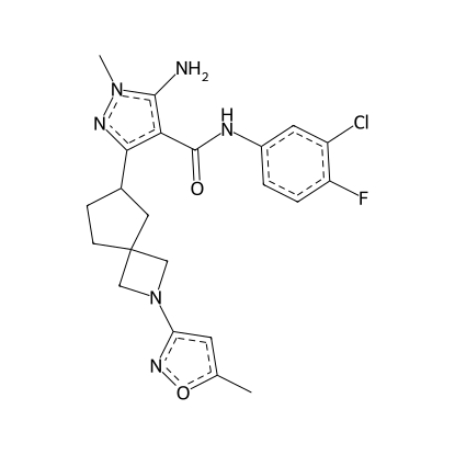 Cc1cc(N2CC3(CCC(c4nn(C)c(N)c4C(=O)Nc4ccc(F)c(Cl)c4)C3)C2)no1